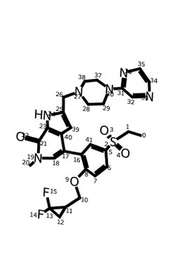 CCS(=O)(=O)c1ccc(OCC2CC2(F)F)c(-c2cn(C)c(=O)c3[nH]c(CN4CCN(c5cnccn5)CC4)cc23)c1